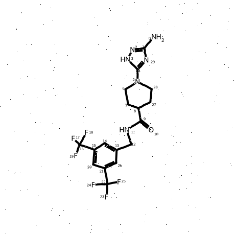 Nc1n[nH]c(N2CCC(C(=O)NCc3cc(C(F)(F)F)cc(C(F)(F)F)c3)CC2)n1